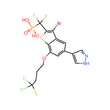 O=P(O)(O)C(F)(F)c1sc2c(OCCCC(F)(F)F)cc(-c3cn[nH]c3)cc2c1Br